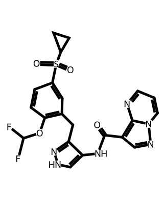 O=C(Nc1c[nH]nc1Cc1cc(S(=O)(=O)C2CC2)ccc1OC(F)F)c1cnn2cccnc12